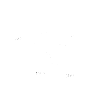 CSc1cc(O)c2ccc(O)cc2c1SC